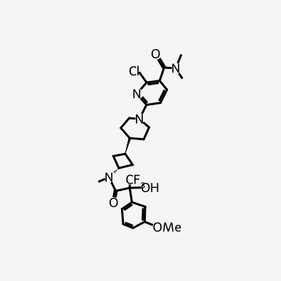 COc1cccc(C(O)(C(=O)N(C)[C@H]2C[C@H](C3CCN(c4ccc(C(=O)N(C)C)c(Cl)n4)CC3)C2)C(F)(F)F)c1